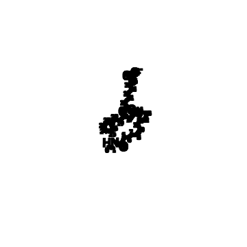 CCNC(=O)CCC/C=C\CC1CCCC1/C=C/C(CCc1ccccc1)OC(=O)CCCCCO[N+](=O)[O-]